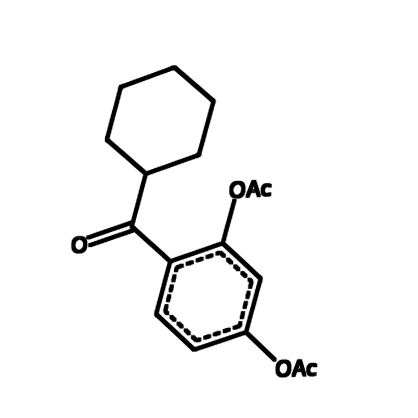 CC(=O)Oc1ccc(C(=O)C2CCCCC2)c(OC(C)=O)c1